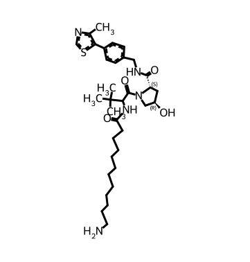 Cc1ncsc1-c1ccc(CNC(=O)[C@@H]2C[C@@H](O)CN2C(=O)C(NC(=O)CCCCCCCCCCCN)C(C)(C)C)cc1